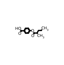 CCCC(C)C(=O)Oc1ccc(C(=O)O)cc1